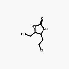 O=C1NC(CO)C(CCO)N1